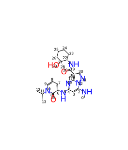 CNc1cc(Nc2cccn(C(C)C)c2=O)nc2c(C(=O)N[C@H]3CCCC[C@]3(C)O)cnn12